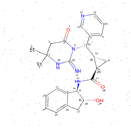 CCC1(CC)CC(=O)N([C@H](c2cccnc2)[C@@H]2C[C@H]2C(=O)N[C@@H]2c3ccccc3C[C@H]2O)C(=N)N1